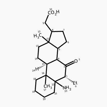 CC[C@H]1C(=O)C2C3CCC(CC(=O)O)C3(C)CC[C@@H]2C2(C)CCCCC12N